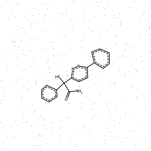 NC(=O)C(S)(c1ccccc1)c1ccc(-c2ccccc2)nn1